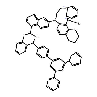 CC/C1=c2/cccc/c2=C/CN(c2ccc3c(C4Nc5ccccc5C(c5ccc(-c6cc(-c7ccccc7)cc(C7C=CC=CC7)c6)cc5)N4)cccc3c2)c2ccc3c(c21)CCCC3